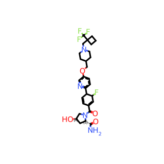 NC(=O)[C@@H]1C[C@@H](O)CN1C(=O)C1=CC(F)C(c2ccc(OCC3CCN(CC4(C(F)(F)F)CCC4)CC3)cn2)C=C1